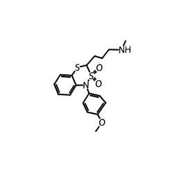 CNCCCC1Sc2ccccc2N(c2ccc(OC)cc2)S1(=O)=O